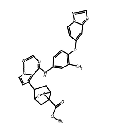 Cc1cc(Nc2ncnn3ccc(C4CC5CCC4CN5C(=O)OC(C)(C)C)c23)ccc1Oc1ccn2ncnc2c1